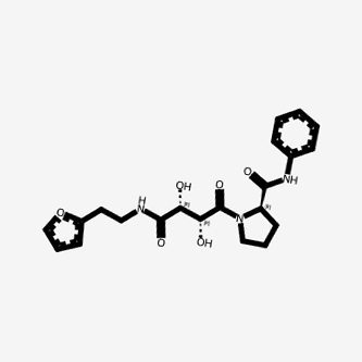 O=C(Nc1ccccc1)[C@H]1CCCN1C(=O)[C@H](O)[C@@H](O)C(=O)NCCc1ccco1